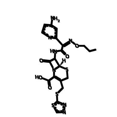 CCCO/N=C(\C(=O)NC1C(=O)N2C(C(=O)O)=C(CSc3nncs3)CS[C@H]12)c1cc(N)ccn1